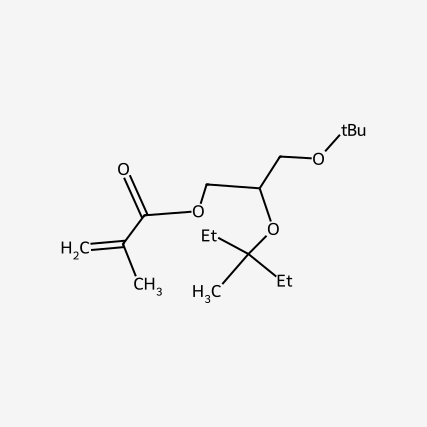 C=C(C)C(=O)OCC(COC(C)(C)C)OC(C)(CC)CC